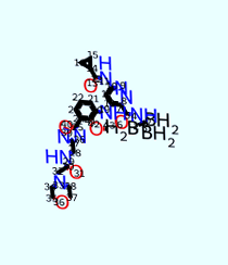 BC(B)(B)NC(=O)c1nnc(NC(=O)C2CC2)cc1Nc1cccc(-c2nc(CNC(=O)CN3CCOCC3)no2)c1OC